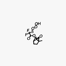 CC12CCC(C(OC(=O)C(F)(F)SOOO)C1=O)C2(C)C